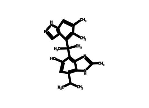 Cc1nc2c(C(C)(C)c3c(C)c(C)cc4[nH]ncc34)c(O)cc(C(C)C)c2[nH]1